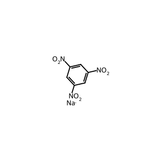 O=[N+]([O-])c1cc([N+](=O)[O-])cc([N+](=O)[O-])c1.[Na]